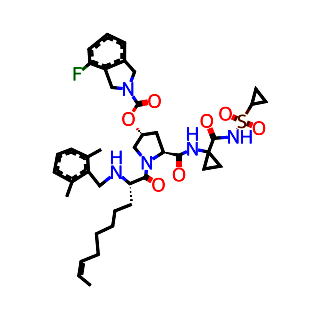 C/C=C\CCCCC[C@H](NCc1c(C)cccc1C)C(=O)N1C[C@H](OC(=O)N2Cc3cccc(F)c3C2)C[C@H]1C(=O)NC1(C(=O)NS(=O)(=O)C2CC2)CC1